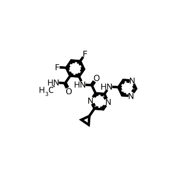 CNC(=O)c1c(F)cc(F)cc1NC(=O)c1nc(C2CC2)cnc1Nc1cncnc1